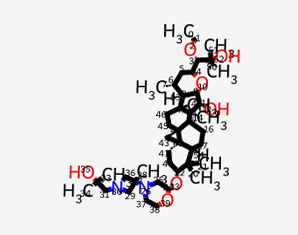 CCO[C@@H](C1C[C@@H](C)[C@H]2C(O1)[C@H](O)[C@@]1(C)C3CC[C@H]4C(C)(C)[C@@H](O[C@H]5CN(C6(C)CN(CC(C)(C)O)C6)CCO5)CC[C@@]45C[C@@]35CC[C@]21C)C(C)(C)O